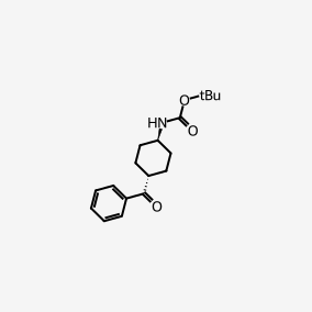 CC(C)(C)OC(=O)N[C@H]1CC[C@H](C(=O)c2ccccc2)CC1